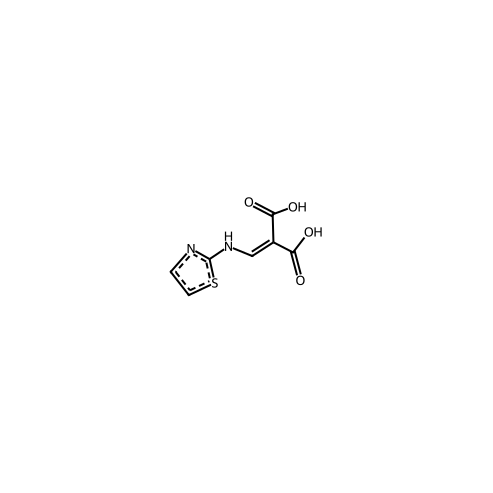 O=C(O)C(=CNc1nccs1)C(=O)O